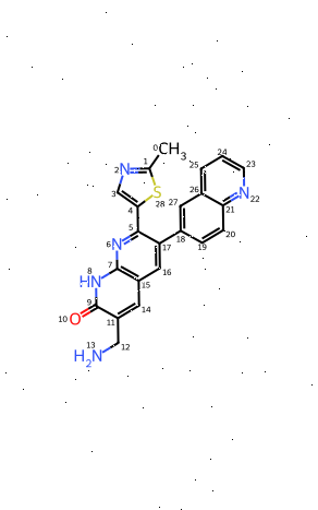 Cc1ncc(-c2nc3[nH]c(=O)c(CN)cc3cc2-c2ccc3ncccc3c2)s1